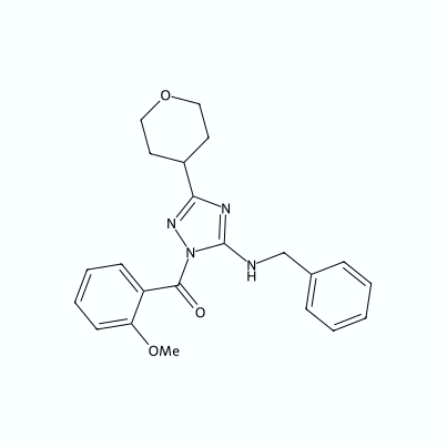 COc1ccccc1C(=O)n1nc(C2CCOCC2)nc1NCc1ccccc1